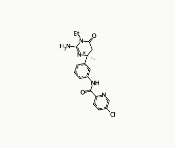 CCN1C(=O)C[C@@](C)(c2cccc(NC(=O)c3ccc(Cl)cn3)c2)N=C1N